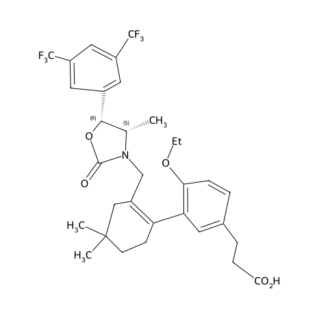 CCOc1ccc(CCC(=O)O)cc1C1=C(CN2C(=O)O[C@H](c3cc(C(F)(F)F)cc(C(F)(F)F)c3)[C@@H]2C)CC(C)(C)CC1